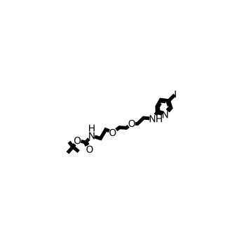 CC(C)(C)OC(=O)NCCOCCOCCNc1ccc(I)cn1